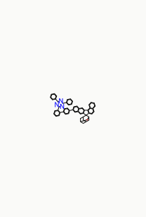 c1ccc(-c2nc(-c3ccccc3)nc(-c3ccccc3-c3ccc(-c4ccc5cc6c(cc5c4)C4(c5ccc7ccccc7c5-6)C5CC6CC(C5)CC4C6)cc3)n2)cc1